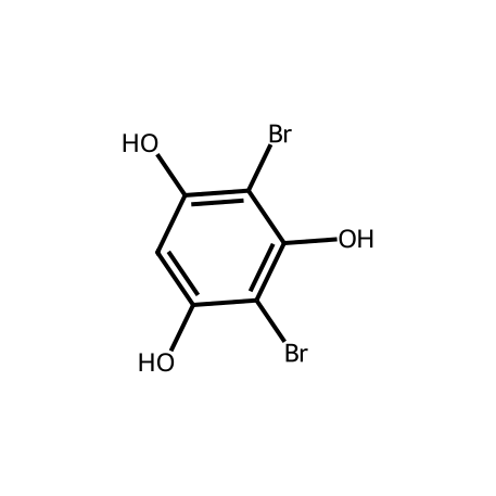 Oc1cc(O)c(Br)c(O)c1Br